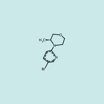 C[C@H]1COCCN1c1ccc(Br)cn1